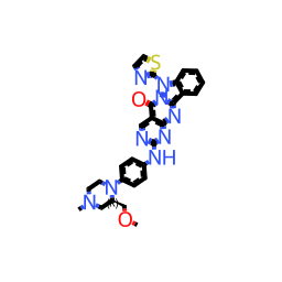 COC[C@H]1CN(C)CCN1c1ccc(Nc2ncc3c(=O)n4c(nc3n2)c2ccccc2n4-c2nccs2)cc1